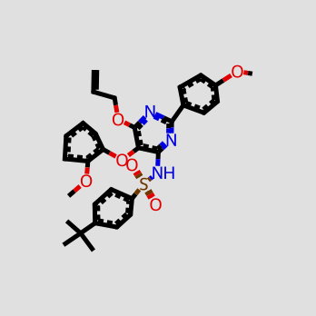 C=CCOc1nc(-c2ccc(OC)cc2)nc(NS(=O)(=O)c2ccc(C(C)(C)C)cc2)c1Oc1ccccc1OC